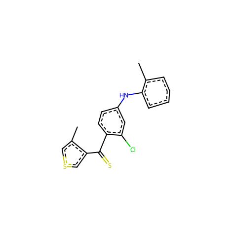 Cc1ccccc1Nc1ccc(C(=S)c2cscc2C)c(Cl)c1